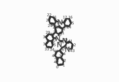 c1ccc2cc(-c3nc(-n4c5cc6c7ccccc7n7c8ccccc8c(c5c5ccc8ccccc8c54)c67)nc4cccnc34)ccc2c1